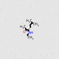 CCN[C@@H](CCC(C)C)C(C)=O